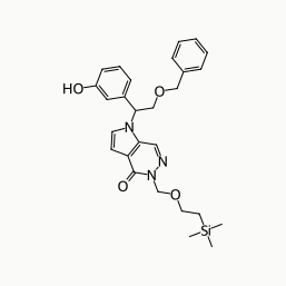 C[Si](C)(C)CCOCn1ncc2c(ccn2C(COCc2ccccc2)c2cccc(O)c2)c1=O